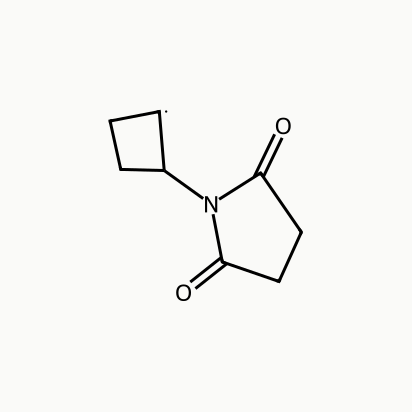 O=C1CCC(=O)N1C1[CH]CC1